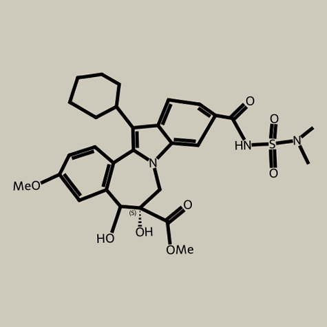 COC(=O)[C@]1(O)Cn2c(c(C3CCCCC3)c3ccc(C(=O)NS(=O)(=O)N(C)C)cc32)-c2ccc(OC)cc2C1O